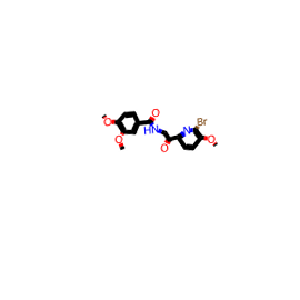 COc1ccc(C(=O)NCC(=O)c2ccc(OC)c(Br)n2)cc1OC